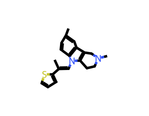 CC(=Cn1c2c(c3cc(C)ccc31)CN(C)CC2)c1cccs1